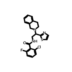 O=C(NCC(c1nccs1)N1CCc2ccccc2C1)c1c(F)cccc1Cl